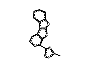 Cc1nc(-c2cccc3c2nc2sc4ccccc4n23)no1